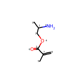 [CH2]C(N)COC(=O)C(=C)C